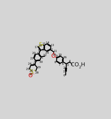 CC#CC(CC(=O)O)c1ccc(OCc2ccc3scc(-c4ccc(C5=CC[S+]([O-])CC5)cc4C)c3c2)cc1